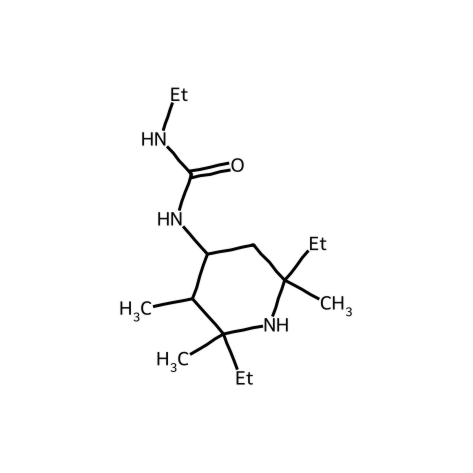 CCNC(=O)NC1CC(C)(CC)NC(C)(CC)C1C